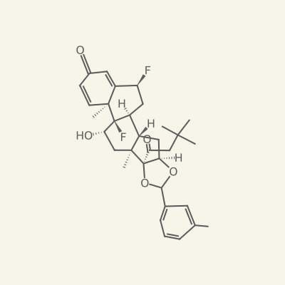 Cc1cccc(C2O[C@@H]3C[C@H]4[C@@H]5C[C@H](F)C6=CC(=O)C=C[C@]6(C)[C@@]5(F)[C@@H](O)C[C@]4(C)[C@]3(C(=O)CC(C)(C)C)O2)c1